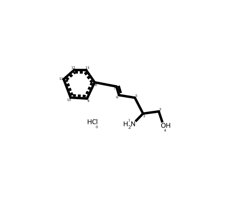 Cl.NC(CO)CC=Cc1ccccc1